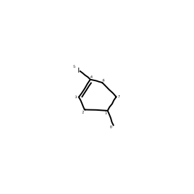 CC1CC=C(I)CC1